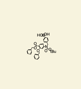 CC(C)(C)OC(=O)N(Cc1ccc(B(O)O)cc1)c1ccc(C(=O)OCc2ccccc2)c(OCc2ccccc2)c1